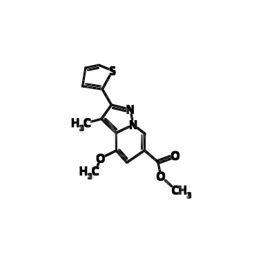 COC(=O)c1cc(OC)c2c(C)c(-c3cccs3)nn2c1